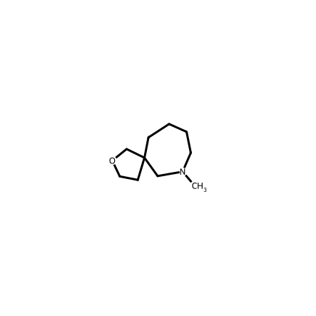 CN1CCCCC2(CCOC2)C1